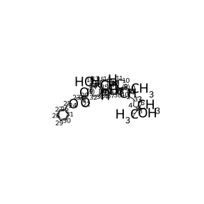 C[C@H](CCCC(C)(C)O)[C@H]1CC[C@H]2[C@@H]3CC[C@H]4[C@@H](O)[C@@H](OC(=O)COCc5ccccc5)CC[C@]4(C)[C@H]3CC[C@]12C